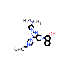 CN(C)[C@H]1CCN(c2nc3c(c(N4CCN(C=CC=O)CC4)n2)CCN(c2cc(O)cc4ccccc24)C3)C1